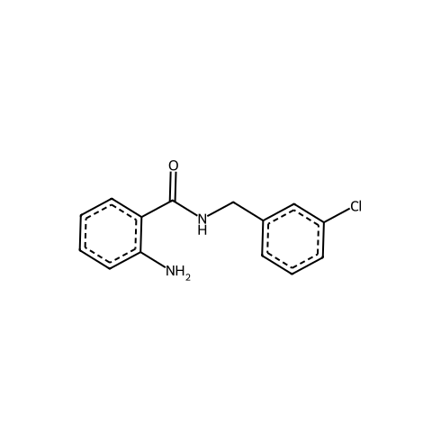 Nc1ccccc1C(=O)NCc1cccc(Cl)c1